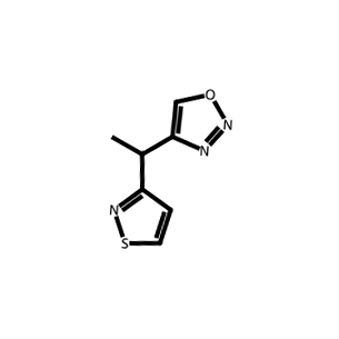 C[C](c1conn1)c1ccsn1